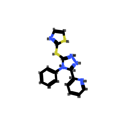 c1ccc(-n2c(Sc3nccs3)nnc2-c2ccccn2)cc1